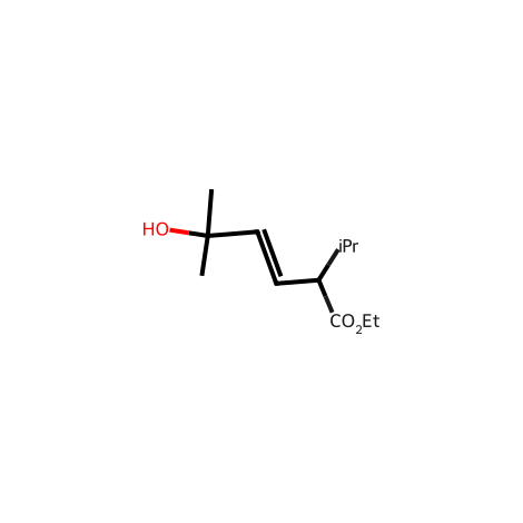 CCOC(=O)C(C=CC(C)(C)O)C(C)C